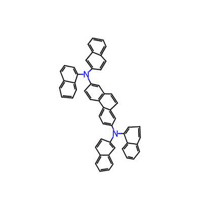 c1ccc2cc(N(c3ccc4c(ccc5cc(N(c6ccc7ccccc7c6)c6cccc7ccccc67)ccc54)c3)c3cccc4ccccc34)ccc2c1